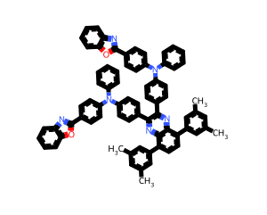 Cc1cc(C)cc(-c2ccc(-c3cc(C)cc(C)c3)c3nc(-c4ccc(N(c5ccccc5)c5ccc(-c6nc7ccccc7o6)cc5)cc4)c(-c4ccc(N(c5ccccc5)c5ccc(-c6nc7ccccc7o6)cc5)cc4)nc23)c1